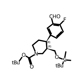 CC(C)(C)OC(=O)N1CC[C@@H](c2ccc(F)c(C=O)c2)[C@@H](CO[Si](C)(C)C(C)(C)C)C1